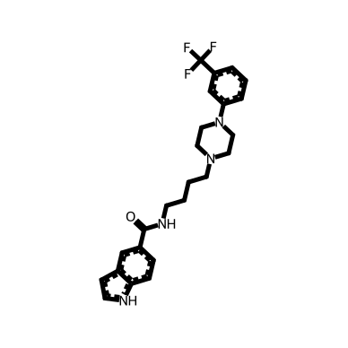 O=C(NCCCCN1CCN(c2cccc(C(F)(F)F)c2)CC1)c1ccc2[nH]ccc2c1